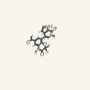 CC(=O)c1cc(-c2cn(C)c(=O)c3[nH]ccc23)c2c(c1)N(C)C(=O)C(C)(C)O2